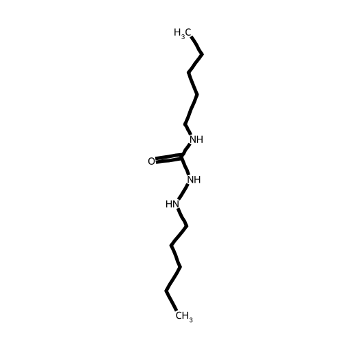 CCCCCNNC(=O)NCCCCC